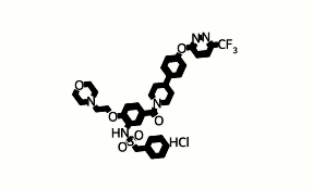 Cl.O=C(c1ccc(OCCN2CCOCC2)c(NS(=O)(=O)Cc2ccccc2)c1)N1CCC(c2ccc(Oc3ccc(C(F)(F)F)nn3)cc2)CC1